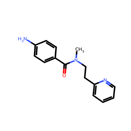 CN(CCc1ccccn1)C(=O)c1ccc(N)cc1